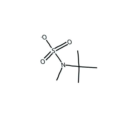 CN(C(C)(C)C)S([O])(=O)=O